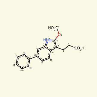 O=C(O)CCc1c(OC(=O)O)[nH]c2cc(-c3ccccc3)ccc12